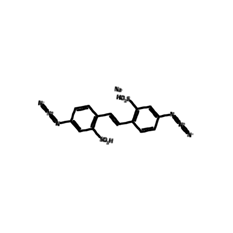 [N-]=[N+]=Nc1ccc(C=Cc2ccc(N=[N+]=[N-])cc2S(=O)(=O)O)c(S(=O)(=O)O)c1.[Na]